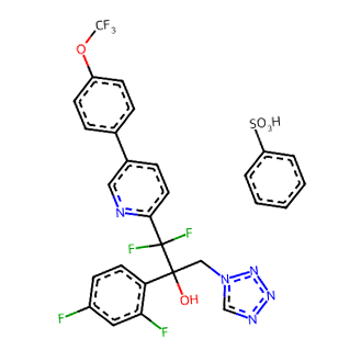 O=S(=O)(O)c1ccccc1.OC(Cn1cnnn1)(c1ccc(F)cc1F)C(F)(F)c1ccc(-c2ccc(OC(F)(F)F)cc2)cn1